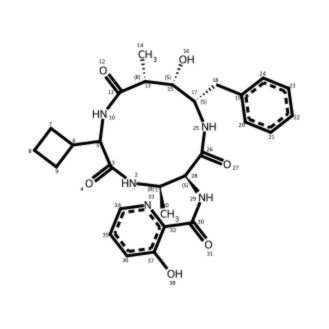 C[C@H]1NC(=O)C(C2CCC2)NC(=O)[C@H](C)[C@H](O)[C@H](Cc2ccccc2)NC(=O)[C@H]1NC(=O)c1ncccc1O